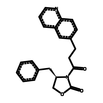 O=C(CCc1ccc2ncccc2c1)N1C(=O)OC[C@@H]1Cc1ccccc1